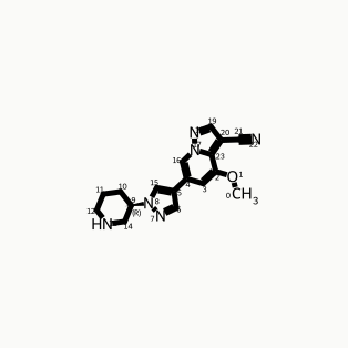 COc1cc(-c2cnn([C@@H]3CCCNC3)c2)cn2ncc(C#N)c12